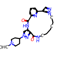 O=CN1CCC(n2cc3c(n2)C(=O)NCCCCCCn2cc(cn2)-c2cccc(n2)C(=O)N3)CC1